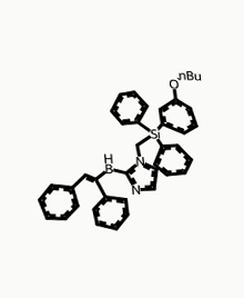 CCCCOc1cccc([Si](Cn2ccnc2BC(=Cc2ccccc2)c2ccccc2)(c2ccccc2)c2ccccc2)c1